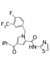 CC(C)C(=O)c1cc(C(=O)Nc2nccs2)n(Cc2ccc(F)c(C(F)(F)F)c2)c1